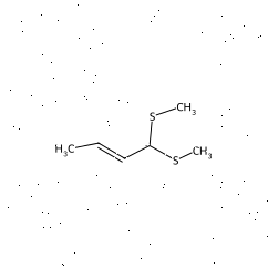 CC=C[C](SC)SC